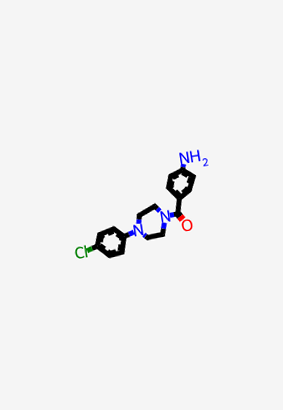 Nc1ccc(C(=O)N2CCN(c3ccc(Cl)cc3)CC2)cc1